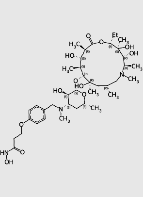 CC[C@H]1OC(=O)[C@H](C)[C@@H](O)[C@H](C)[C@@H](O[C@@H]2O[C@H](C)C[C@H](N(C)Cc3ccc(OCCC(=O)NO)cc3)[C@H]2O)[C@](C)(O)C[C@@H](C)CN(C)[C@H](C)[C@@H](O)[C@]1(C)O